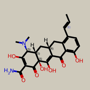 C/C=C/c1ccc(O)c2c1C[C@H]1C[C@H]3[C@H](N(C)C)C(O)=C(C(N)=O)C(=O)[C@@]3(O)C(O)=C1C2=O